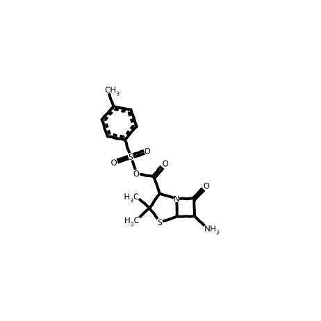 Cc1ccc(S(=O)(=O)OC(=O)C2N3C(=O)C(N)C3SC2(C)C)cc1